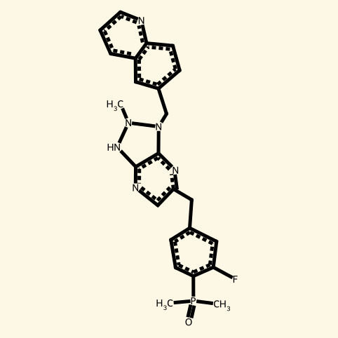 CN1Nc2ncc(Cc3ccc(P(C)(C)=O)c(F)c3)nc2N1Cc1ccc2ncccc2c1